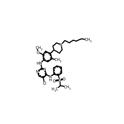 CCCCCCN1CCC(c2cc(OC)c(Nc3ncc(Cl)c(Nc4ccccc4S(=O)(=O)C(C)C)n3)cc2C)CC1